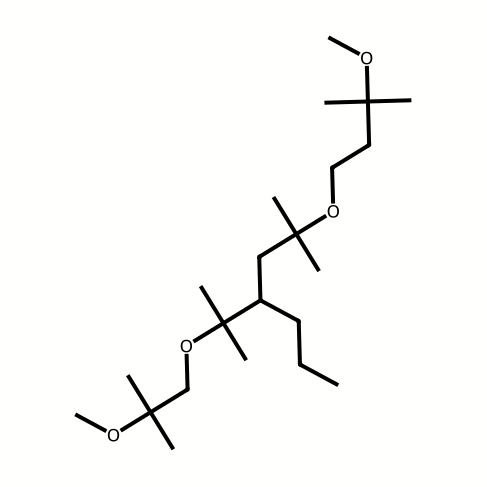 CCCC(CC(C)(C)OCCC(C)(C)OC)C(C)(C)OCC(C)(C)OC